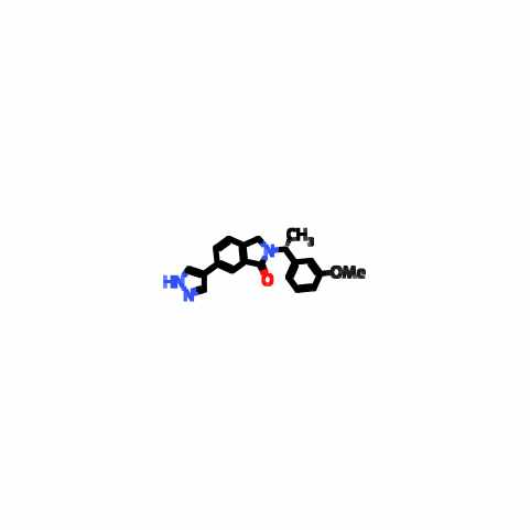 COc1cccc([C@@H](C)N2Cc3ccc(-c4cn[nH]c4)cc3C2=O)c1